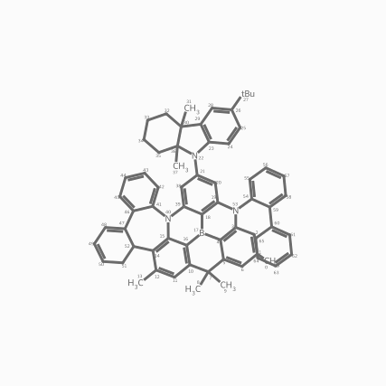 Cc1cc2c3c(c1)C(C)(C)c1cc(C)c4c5c1B3c1c(cc(N3c6ccc(C(C)(C)C)cc6C6(C)CCCCC36C)cc1N5c1ccccc1C1=CC=CCC14)N2c1ccccc1C1=CC=CCC1